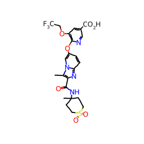 Cc1c(C(=O)NC2(C)CCS(=O)(=O)CC2)nc2ccc(Oc3ncc(C(=O)O)cc3OCC(F)(F)F)cn12